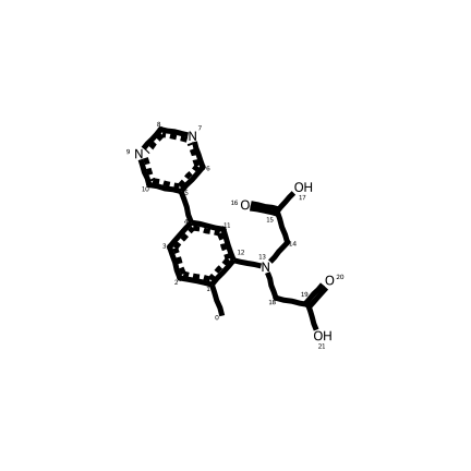 Cc1ccc(-c2cncnc2)cc1N(CC(=O)O)CC(=O)O